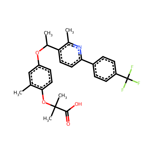 Cc1cc(OC(C)c2ccc(-c3ccc(C(F)(F)F)cc3)nc2C)ccc1OC(C)(C)C(=O)O